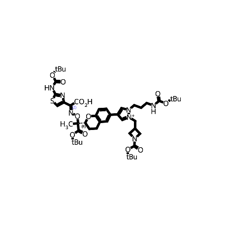 CC(C)(C)OC(=O)NCCCn1cc(-c2ccc3c(c2)CC[C@H](C(C)(O/N=C(\C(=O)O)c2csc(NC(=O)OC(C)(C)C)n2)C(=O)OC(C)(C)C)O3)c[n+]1CC1CN(C(=O)OC(C)(C)C)C1